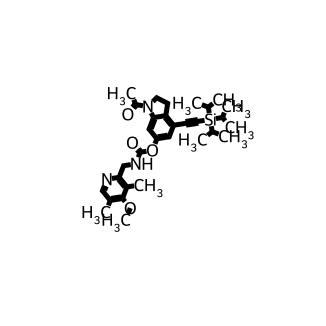 COc1c(C)cnc(CNC(=O)Oc2cc(C#C[Si](C(C)C)(C(C)C)C(C)C)c3c(c2)N(C(C)=O)CC3)c1C